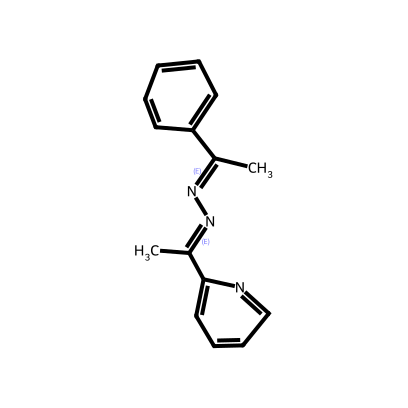 C/C(=N\N=C(/C)c1ccccn1)c1ccccc1